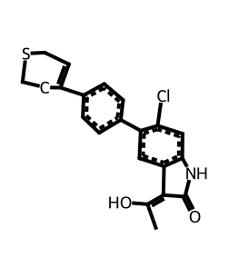 C/C(O)=C1\C(=O)Nc2cc(Cl)c(-c3ccc(C4=CCSCC4)cc3)cc21